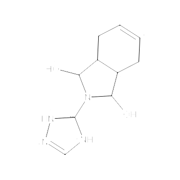 OC1C2CC=CCC2C(O)N1C1NC=NN1